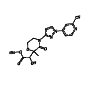 CC(C)(C)OC(=O)C(O)C1(C)OCCN(c2ccn(-c3ccnc(C#N)c3)n2)C1=O